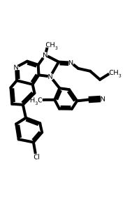 CCCCN=c1n(C)c2cnc3ccc(-c4ccc(Cl)cc4)cc3c2n1-c1cc(C#N)ccc1C